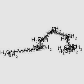 C=C(C)CCCCCCCCCCCCCCCCC1=CC(=C)[C@H](CCC(=C)NCCCCCCCC(=C)NCCCCCCCC(=C)NCCCCC(NC(C)C)C(=C)C(C)C)N1